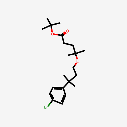 CC(C)(C)OC(=O)CCC(C)(C)OCCC(C)(C)c1ccc(Br)cc1